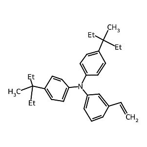 C=Cc1cccc(N(c2ccc(C(C)(CC)CC)cc2)c2ccc(C(C)(CC)CC)cc2)c1